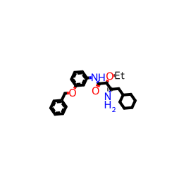 CCOC(C(=O)Nc1cccc(OCc2ccccc2)c1)[C@H](N)CC1CCCCC1